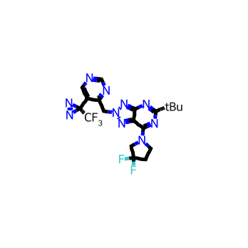 CC(C)(C)c1nc(N2CCC(F)(F)C2)c2nn(Cc3ncncc3C3(C(F)(F)F)N=N3)nc2n1